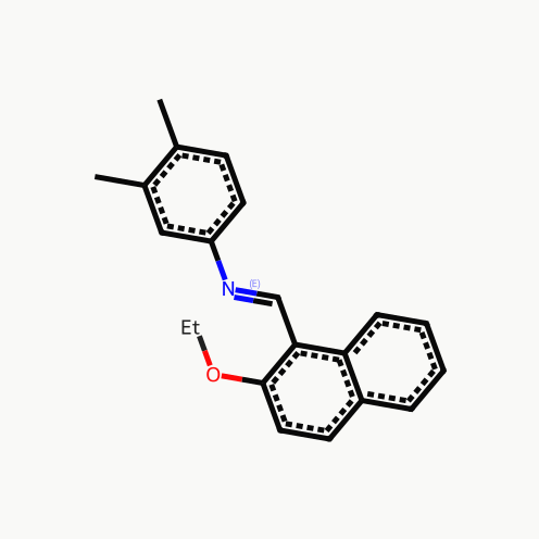 CCOc1ccc2ccccc2c1/C=N/c1ccc(C)c(C)c1